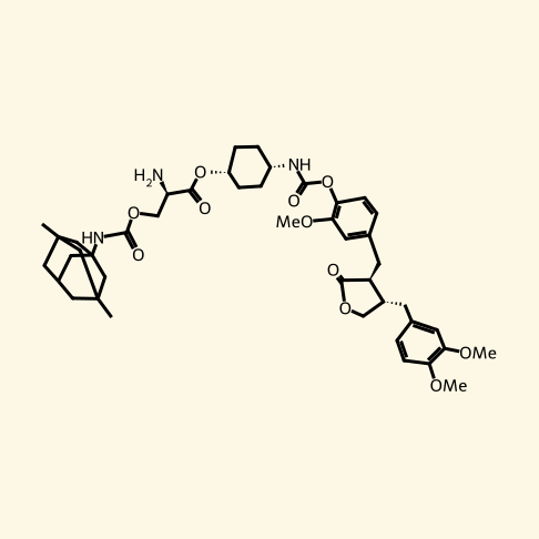 COc1ccc(C[C@@H]2COC(=O)[C@H]2Cc2ccc(OC(=O)N[C@H]3CC[C@@H](OC(=O)[C@H](N)COC(=O)NC45CC6CC(C)(CC(C)(C6)C4)C5)CC3)c(OC)c2)cc1OC